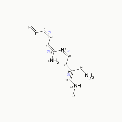 C=C\C=C/C=C(N)\N=C/C/C(=C/NC)CN